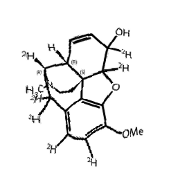 [2H]c1c([2H])c2c3c(c1OC)OC1([2H])C([2H])(O)C=C[C@@H]4[C@@]31CCN(C)[C@]4([2H])C2([2H])[2H]